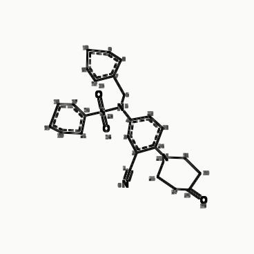 N#Cc1cc(N(Cc2ccccc2)S(=O)(=O)c2ccccc2)ccc1N1CCC(=O)CC1